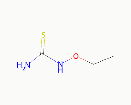 CCONC(N)=S